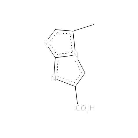 Cc1csc2nc(C(=O)O)cn12